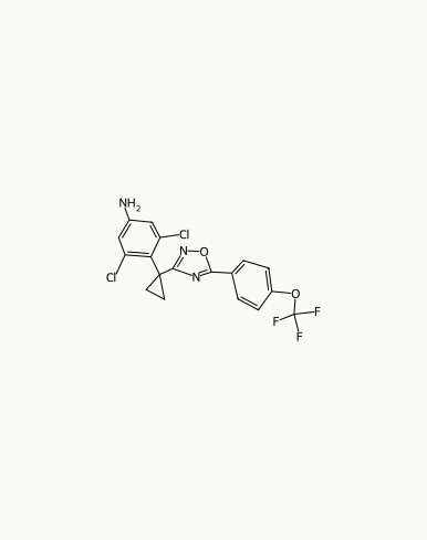 Nc1cc(Cl)c(C2(c3noc(-c4ccc(OC(F)(F)F)cc4)n3)CC2)c(Cl)c1